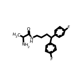 CC(N)C(=O)NCCCC(c1ccc(F)cc1)c1ccc(F)cc1